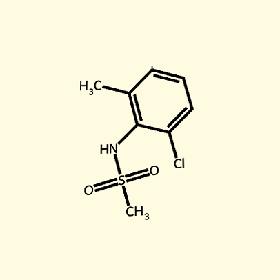 Cc1[c]ccc(Cl)c1NS(C)(=O)=O